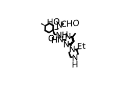 CCC1CNCCN1c1cc(C)nc(NNC(=O)[C@]2(CN(O)C=O)CC[C@@H](C)CC2)n1